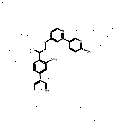 COc1cc(/C(C=N)=C/N)ccc1C(C)CNc1cc(-c2ccc(C)nc2)ncn1